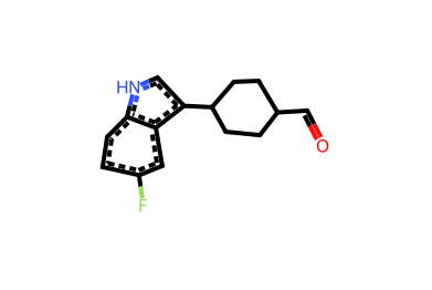 O=CC1CCC(c2c[nH]c3ccc(F)cc23)CC1